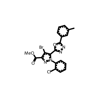 COC(=O)c1nn(-c2ccccc2Cl)c(-c2nnc(-c3cccc(C)c3)o2)c1Br